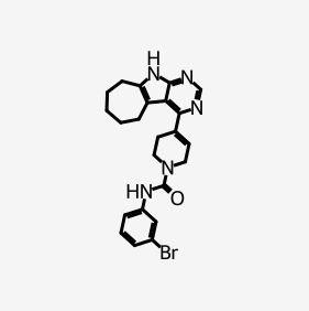 O=C(Nc1cccc(Br)c1)N1CC=C(c2ncnc3[nH]c4c(c23)CCCCC4)CC1